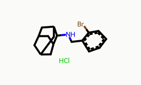 Brc1ccccc1CNC1C2CC3CC(C2)CC1C3.Cl